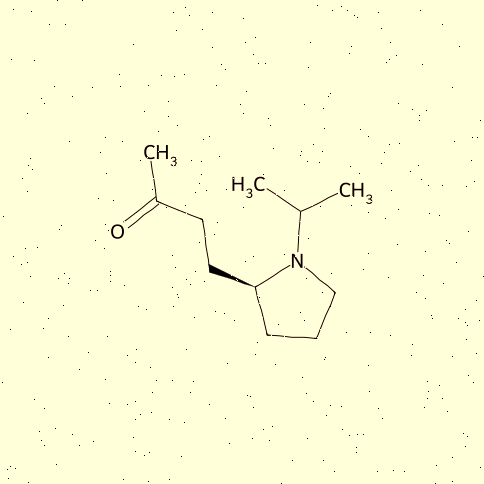 CC(=O)CC[C@@H]1CCCN1C(C)C